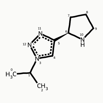 CC(C)n1cc([C@H]2CCCN2)nn1